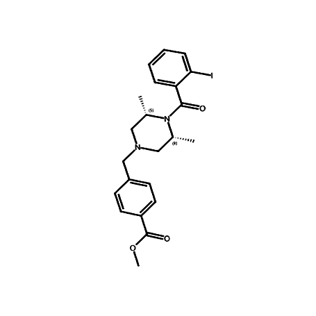 COC(=O)c1ccc(CN2C[C@@H](C)N(C(=O)c3ccccc3I)[C@@H](C)C2)cc1